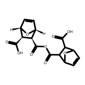 O=C(O)C1C2C=CC(O2)C1C(=O)OC(=O)[C@H]1[C@@H](C(=O)O)[C@@H]2C=C[C@H]1O2